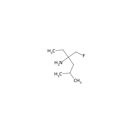 CCC(N)(CF)CC(C)C